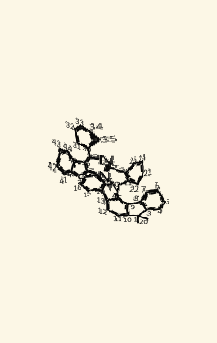 CC1(C)c2ccccc2-c2c1ccc1c3ccccc3n(-c3ccccc3-c3nc(-c4ccccc4)c4c(n3)sc3ccccc34)c21